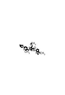 COCc1nn(Cc2ccc(N3CC4CC4C3)nc2C)cc1C(=O)N[C@@H]1CCc2c1ncn2C